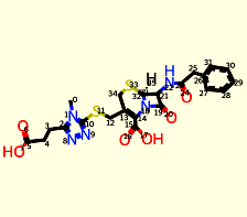 Cn1c(CCC(=O)O)nnc1SCC1=C(C(=O)O)N2C(=O)C(NC(=O)Cc3ccccc3)[C@@H]2SC1